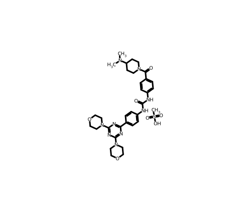 CN(C)C1CCN(C(=O)c2ccc(NC(=O)Nc3ccc(-c4nc(N5CCOCC5)nc(N5CCOCC5)n4)cc3)cc2)CC1.CS(=O)(=O)O